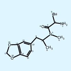 CCC(C)C(N)C(=O)N(C)C(C)Cc1ccc2c(c1)OCO2